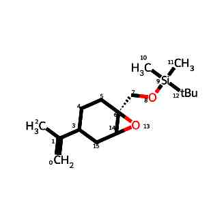 C=C(C)C1CC[C@@]2(CO[Si](C)(C)C(C)(C)C)OC2C1